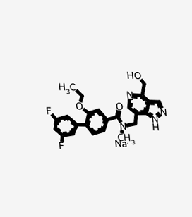 CCOc1cc(C(=O)N(C)Cc2cnc(CO)c3cn[nH]c23)ccc1-c1cc(F)cc(F)c1.[Na]